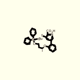 C[C@H](CCO[Si](c1ccccc1)(c1ccccc1)C(C)(C)C)Oc1ccccc1-c1cnc(C(=O)O)c(F)c1